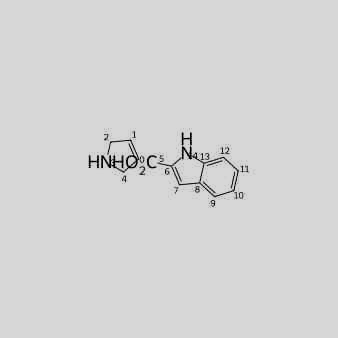 C1=CCNC1.O=C(O)c1cc2ccccc2[nH]1